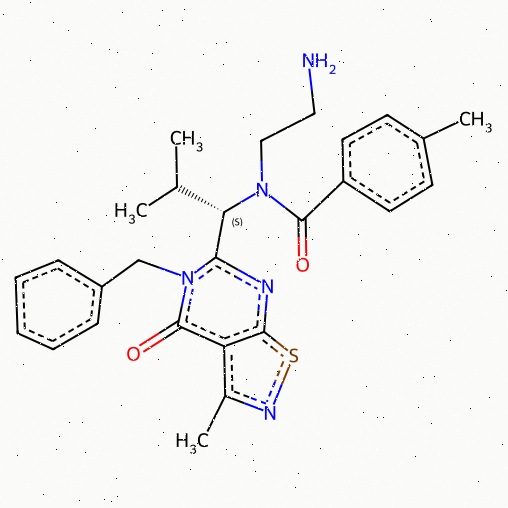 Cc1ccc(C(=O)N(CCN)[C@H](c2nc3snc(C)c3c(=O)n2Cc2ccccc2)C(C)C)cc1